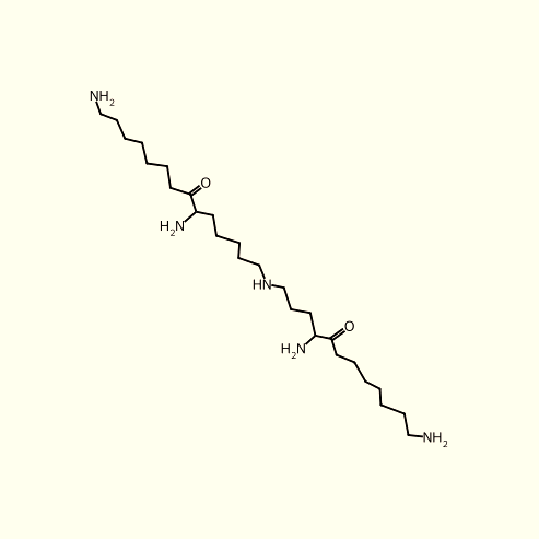 NCCCCCCCC(=O)C(N)CCCCCNCCCC(N)C(=O)CCCCCCCN